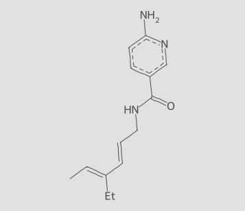 CC=C(C=CCNC(=O)c1ccc(N)nc1)CC